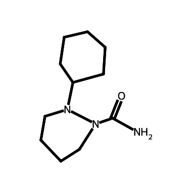 NC(=O)N1CCCCN1C1CCCCC1